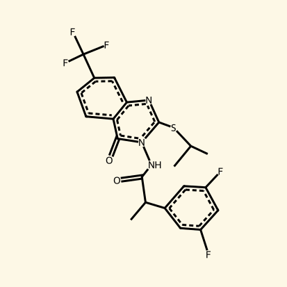 CC(C)Sc1nc2cc(C(F)(F)F)ccc2c(=O)n1NC(=O)C(C)c1cc(F)cc(F)c1